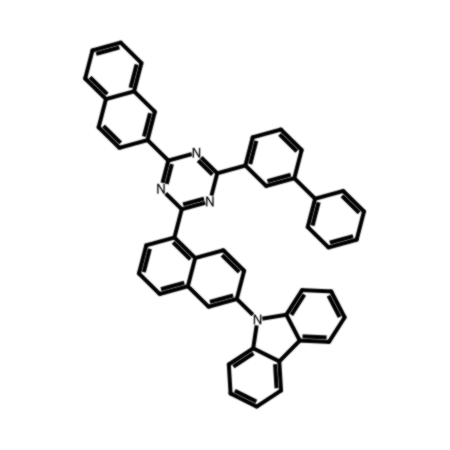 c1ccc(-c2cccc(-c3nc(-c4ccc5ccccc5c4)nc(-c4cccc5cc(-n6c7ccccc7c7ccccc76)ccc45)n3)c2)cc1